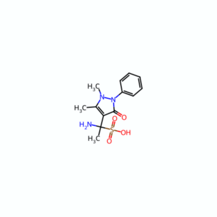 Cc1c(C(C)(N)S(=O)(=O)O)c(=O)n(-c2ccccc2)n1C